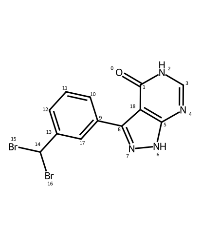 O=c1[nH]cnc2[nH]nc(-c3cccc(C(Br)Br)c3)c12